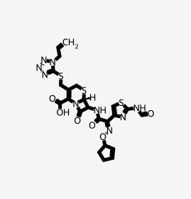 C=CCn1nnnc1SCC1=C(C(=O)O)N2C(=O)C(NC(=O)/C(=N\OC3C=CCC3)c3csc(NC=O)n3)[C@H]2SC1